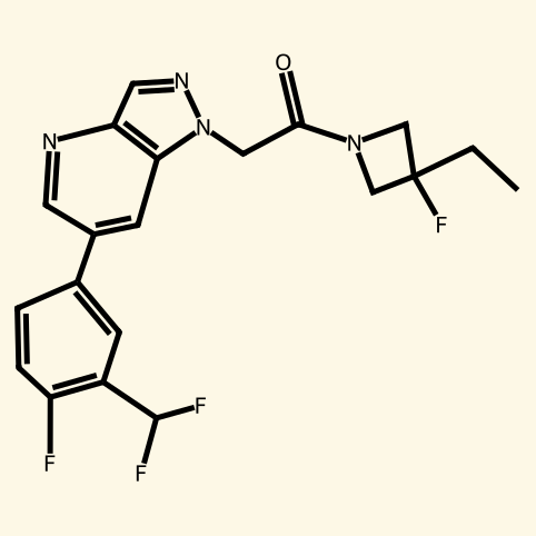 CCC1(F)CN(C(=O)Cn2ncc3ncc(-c4ccc(F)c(C(F)F)c4)cc32)C1